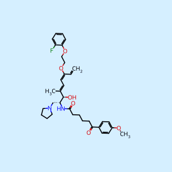 C=C/C(=C\C=C(/C)[C@@H](O)[C@@H](CN1CCCC1)NC(=O)CCCCC(=O)c1ccc(OC)cc1)OCCOc1ccccc1F